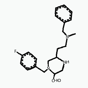 CN(CCC1CN(Cc2ccc(F)cc2)C(C=O)CN1)Cc1ccccc1